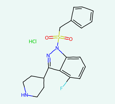 Cl.O=S(=O)(Cc1ccccc1)n1nc(C2CCNCC2)c2c(F)cccc21